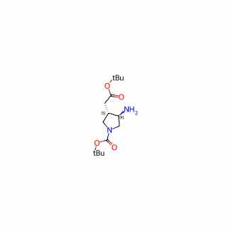 CC(C)(C)OC(=O)C[C@H]1CN(C(=O)OC(C)(C)C)C[C@@H]1N